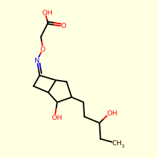 CCC(O)CCC1CC2C(=NOCC(=O)O)CC2C1O